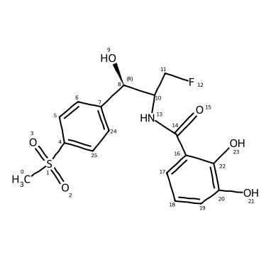 CS(=O)(=O)c1ccc([C@@H](O)C(CF)NC(=O)c2cccc(O)c2O)cc1